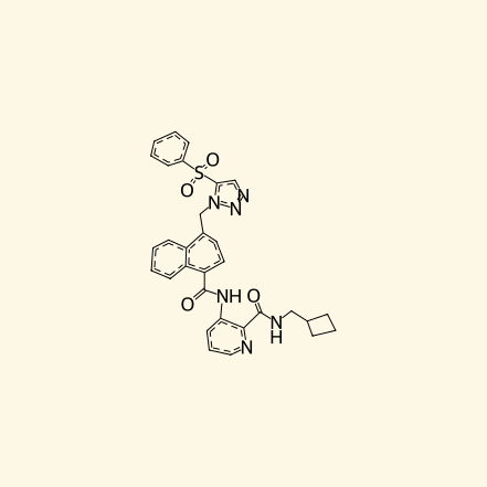 O=C(NCC1CCC1)c1ncccc1NC(=O)c1ccc(Cn2nncc2S(=O)(=O)c2ccccc2)c2ccccc12